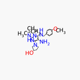 COc1ccc(CNc2nc(NC(C)(C)C)nc(N3CC[C@H](O)C3)c2N)cc1